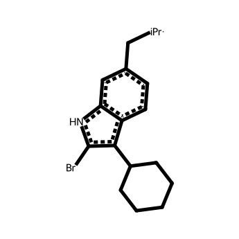 C[C](C)Cc1ccc2c(C3CCCCC3)c(Br)[nH]c2c1